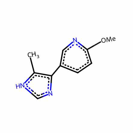 COc1ccc(-c2nc[nH]c2C)cn1